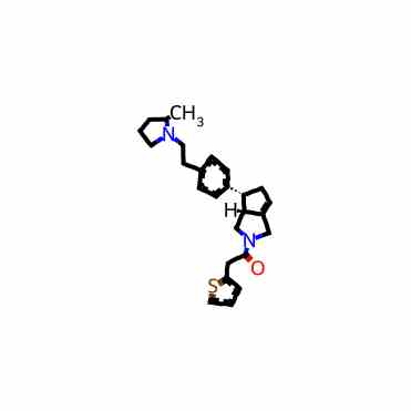 CC1CCCN1CCc1ccc([C@@H]2CC=C3CN(C(=O)Cc4cccs4)C[C@@H]32)cc1